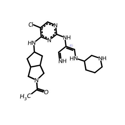 CC(=O)N1CC2CC(Nc3nc(N/C(C=N)=C/NC4CCCNC4)ncc3Cl)CC2C1